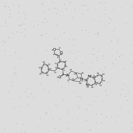 O=C(c1ccc(C2=COCO2)cc1Cc1ccccc1)N1CC2CC(C1)CN(c1ncc3ccccc3n1)C2